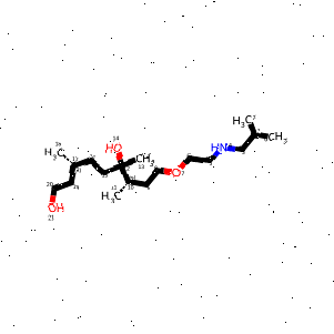 CC(C)CNCCOCC[C@H](C)C(C)(O)CC[C@@H](C)CCO